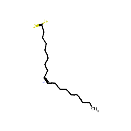 CCCCCCCC/C=C\CCCCCCCC(=S)S